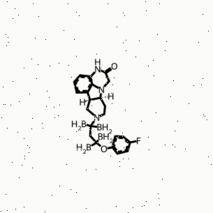 BC(B)(CC(B)(B)N1CC[C@H]2[C@@H](C1)c1cccc3c1N2CC(=O)N3)Oc1ccc(F)cc1